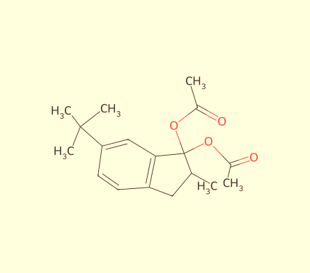 CC(=O)OC1(OC(C)=O)c2cc(C(C)(C)C)ccc2CC1C